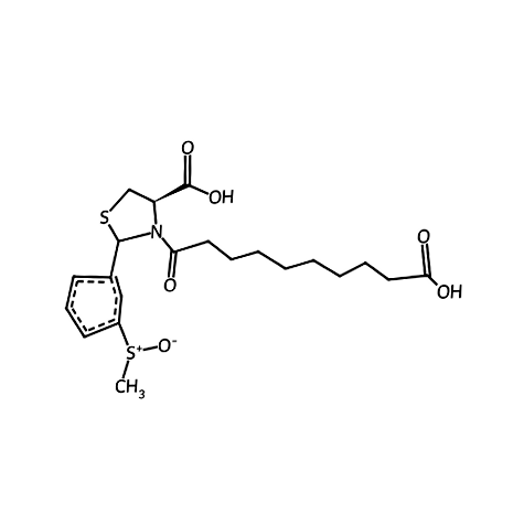 C[S+]([O-])c1cccc(C2SC[C@@H](C(=O)O)N2C(=O)CCCCCCCCC(=O)O)c1